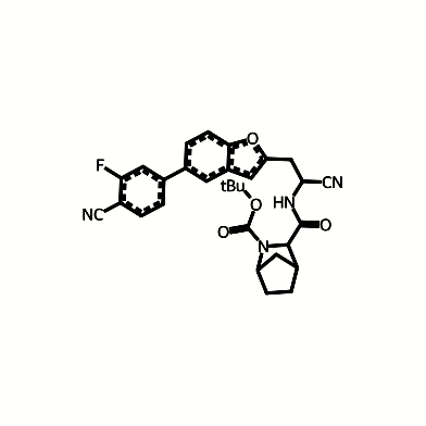 CC(C)(C)OC(=O)N1C2CCC(C2)C1C(=O)NC(C#N)Cc1cc2cc(-c3ccc(C#N)c(F)c3)ccc2o1